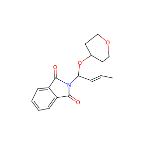 CC=CC(OC1CCOCC1)N1C(=O)c2ccccc2C1=O